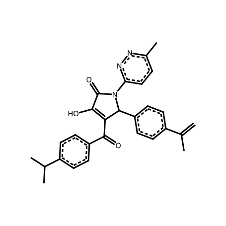 C=C(C)c1ccc(C2C(C(=O)c3ccc(C(C)C)cc3)=C(O)C(=O)N2c2ccc(C)nn2)cc1